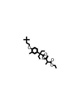 CCOC(=O)C(C)c1coc(C(CC)(CC)c2ccc(OCCC(C)(C)C)c(C)c2)n1